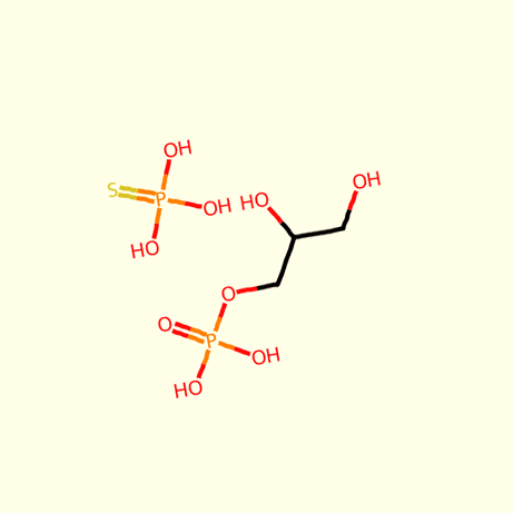 O=P(O)(O)OCC(O)CO.OP(O)(O)=S